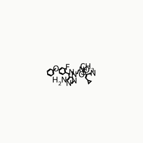 CN(CCn1nc(-c2ccc(Oc3ccccc3)cc2F)c2c(N)ncnc21)S(=O)(=O)C(C#N)=CC1CC1